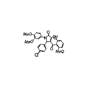 COc1ccc(N2C(=O)C(O)=C(C(=O)c3c(Cl)cccc3OC)C2c2ccc(Cl)cc2)cc1OC